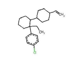 C=CC1CCC(C2CCCCC2(CC)c2ccc(Cl)cc2)CC1